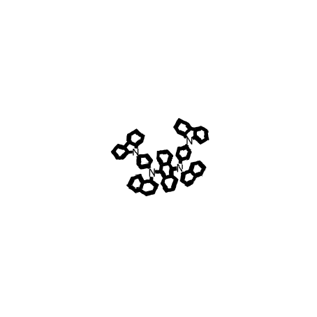 c1ccc2c(N(c3ccc(-n4c5ccccc5c5ccccc54)cc3)c3c4ccccc4c(N(c4ccc(-n5c6ccccc6c6ccccc65)cc4)c4cccc5ccccc45)c4ccccc34)cccc2c1